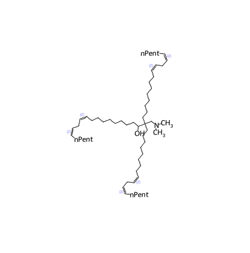 CCCCC/C=C\C/C=C\CCCCCCCCC(O)C(CCCCCCCC/C=C\C/C=C\CCCCC)(CCCCCCCC/C=C\C/C=C\CCCCC)CN(C)C